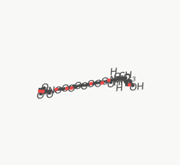 C[C@H](NC(=O)CNC(=O)CCOCCOCCOCCOCCOCCOCCOCCOCCNC(=O)CCN1C(=O)C=CC1=O)C(=O)Nc1ccc(CO)cc1